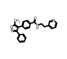 Cc1onc(-c2ccccc2)c1-c1ccc(C(=O)NCCc2cccnc2)cc1